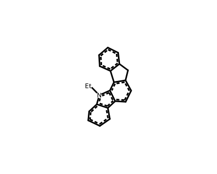 CCn1c2ccccc2c2ccc3c(c21)-c1ccccc1C3